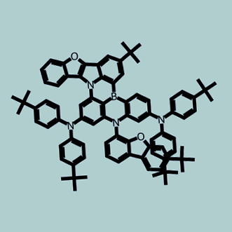 CC(C)(C)c1ccc(N(c2ccc(C(C)(C)C)cc2)c2ccc3c(c2)N(c2cccc4c2oc2cc(C(C)(C)C)ccc24)c2cc(N(c4ccc(C(C)(C)C)cc4)c4ccc(C(C)(C)C)cc4)cc4c2B3c2cc(C(C)(C)C)cc3c5oc6ccccc6c5n-4c23)cc1